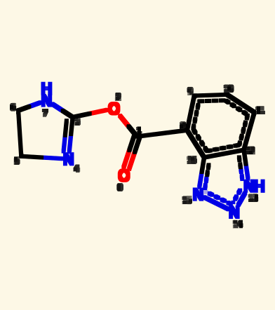 O=C(OC1=NCCN1)c1cccc2[nH]nnc12